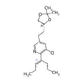 CC/C=C(\CCC)c1ncc(CC[C@@H]2COC(C)(C)O2)cc1Cl